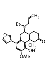 C=CCN(CC)C1Cc2c(-c3ccoc3)cc(OC)c(O)c2[C@]2(C)CC(=O)CCC12